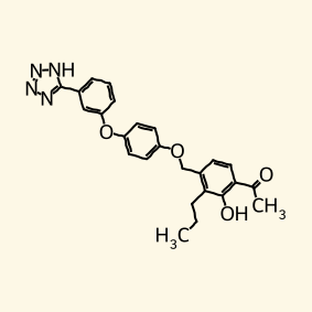 CCCc1c(COc2ccc(Oc3cccc(-c4nnn[nH]4)c3)cc2)ccc(C(C)=O)c1O